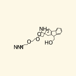 [N-]=[N+]=NCCOCCOCCC1(C(N)=O)C=CC2=C(C1)C(CO)c1ccccc12